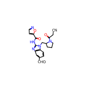 N#CCC(=O)N1CCCC1Cn1c(NC(=O)c2ccno2)nc2cc(C=O)ccc21